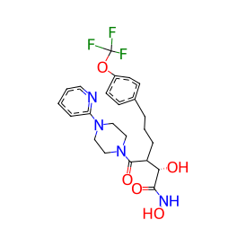 O=C(NO)[C@@H](O)C(CCCc1ccc(OC(F)(F)F)cc1)C(=O)N1CCN(c2ccccn2)CC1